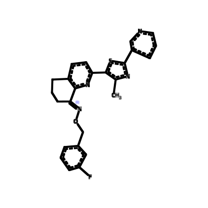 Cc1nc(-c2cccnc2)sc1-c1ccc2c(n1)/C(=N/OCc1cccc(F)c1)CCC2